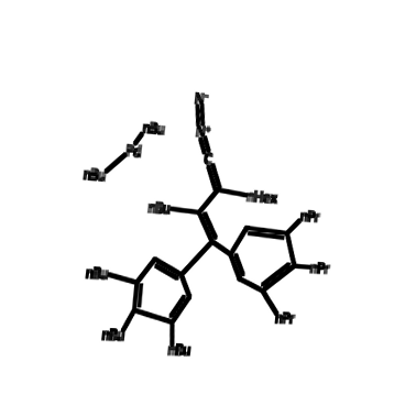 CCCCCCC(=C=[N+]=[N-])C(CCCC)=C(c1cc(CCC)c(CCC)c(CCC)c1)c1cc(CCCC)c(CCCC)c(CCCC)c1.CCC[CH2][Pd][CH2]CCC